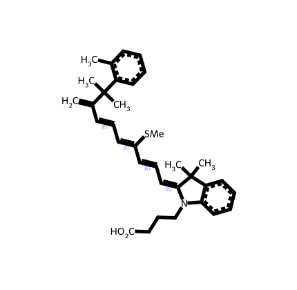 C=C(/C=C/C=C(/C=C/C=C1/N(CCCC(=O)O)c2ccccc2C1(C)C)SC)C(C)(C)c1ccccc1C